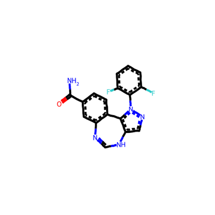 NC(=O)c1ccc2c(c1)N=CNc1cnn(-c3c(F)cccc3F)c1-2